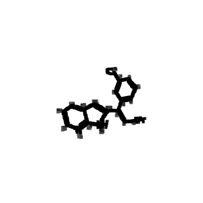 CC(C)/C=C(\c1cccc(Cl)c1)c1cc2cccnc2[nH]1